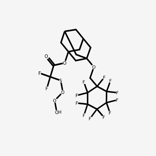 O=C(OC12CC3CC(CC(OCC4(F)C(F)(F)C(F)(F)C(F)(F)C(F)(F)C4(F)F)(C3)C1)C2)C(F)(F)SOOO